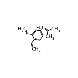 C=C(C)C.C=Cc1ccccc1C=C